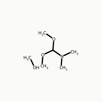 CO.COC(OC)N(C)C